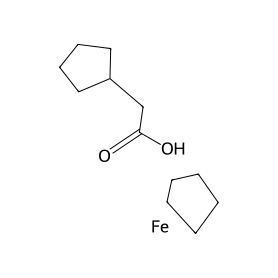 C1CCCC1.O=C(O)CC1CCCC1.[Fe]